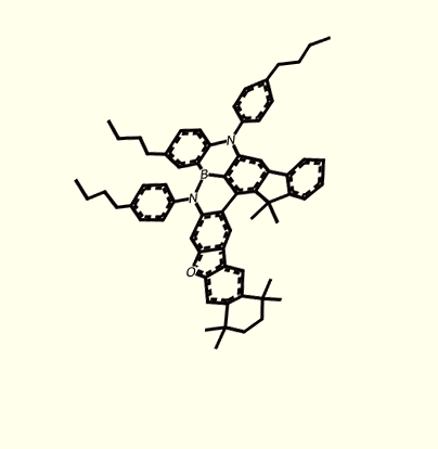 CCCCc1ccc(N2B3c4cc(CCCC)ccc4N(c4ccc(CCCC)cc4)c4cc5c(c(c43)-c3cc4c(cc32)oc2cc3c(cc24)C(C)(C)CCC3(C)C)C(C)(C)c2ccccc2-5)cc1